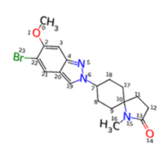 COc1cc2nn(C3CCC4(CCC(=O)N4C)CC3)cc2cc1Br